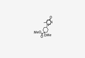 COC(=O)C1(OC)CCC(n2cnc(=O)cc2C)CC1